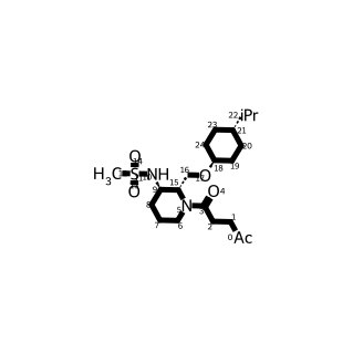 CC(=O)CCC(=O)N1CCC[C@H](NS(C)(=O)=O)[C@@H]1CO[C@H]1CC[C@@H](C(C)C)CC1